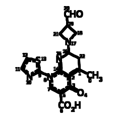 CC1=c2c(=O)c(C(=O)O)cn(-c3nccs3)c2=NC(N2CC(C=O)C2)C1